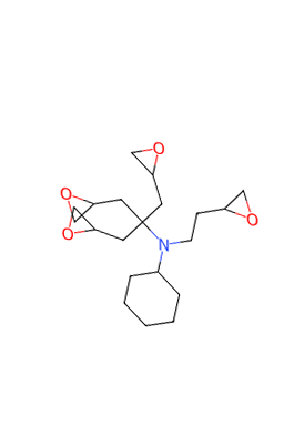 C1CCC(N(CCC2CO2)C(CC2CO2)(CC2CO2)CC2CO2)CC1